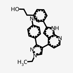 CCn1cc(-c2ccnc3[nH]c(-c4cccc(CCO)c4)cc23)c(-c2ccc(N)cc2)n1